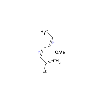 C=C(/C=C\C(=C/C)OC)CC